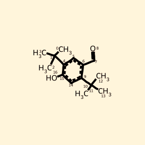 CC(C)(C)c1cc(C=O)c(C(C)(C)C)cc1O